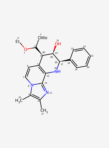 CCOC(OC)[C@@H]1c2ccn3c(C)c(C)nc3c2N[C@H](c2ccccc2)[C@@H]1O